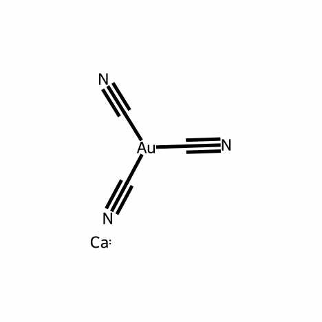 N#[C][Au]([C]#N)[C]#N.[Ca]